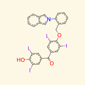 O=C(c1cc(I)c(O)c(I)c1)c1cc(I)c(OCc2ccccc2-n2cc3ccccc3c2)c(I)c1